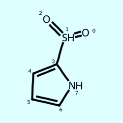 O=[SH](=O)c1ccc[nH]1